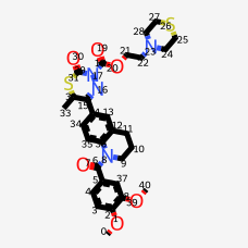 COc1ccc(C(=O)N2CCCc3cc(C4=NN(C(=O)OCCN5CCSCC5)C(=O)SC4C)ccc32)cc1OC